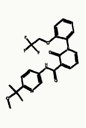 COC(C)(C)c1ccc(NC(=O)c2cccn(-c3ccccc3OCC(F)(F)F)c2=O)cn1